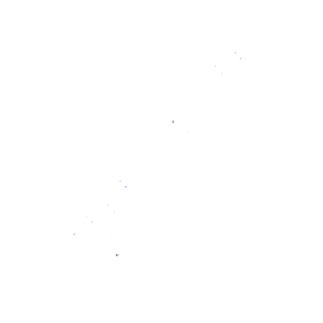 NONCCC#Cc1ccc(OCCCN2CCN([C@H](c3ccccc3)c3ccc(Cl)cc3)CC2)cc1